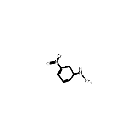 NNC1C=CC=C([N+](=O)[O-])C1